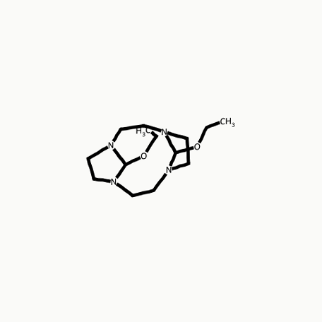 CCOC1N2CCN1CCN1CCN(CC2)C1OCC